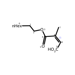 CCCCCCCCOC(=O)/C(C)=C\C(=O)O